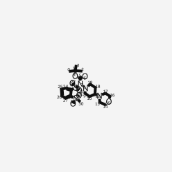 CC(C)(C)OC(=O)N(N1CCC(N2CCOCC2)CC1)S(=O)(=O)c1ccccc1S(C)(=O)=O